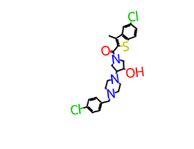 Cc1c(C(=O)N2CC(O)C(N3CCN(Cc4ccc(Cl)cc4)CC3)C2)sc2ccc(Cl)cc12